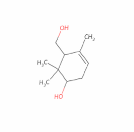 CC1=CCC(O)C(C)(C)C1CO